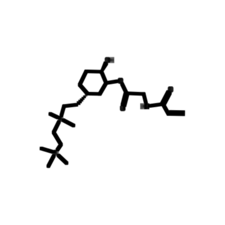 C=CC(=O)NCC(=O)OC1C[C@H](CC[Si](C)(C)CC[Si](C)(C)C)CC[C@H]1O